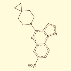 O=C(O)c1ccc2c(c1)nc(N1CCC3(CC1)CC3)c1ccnn12